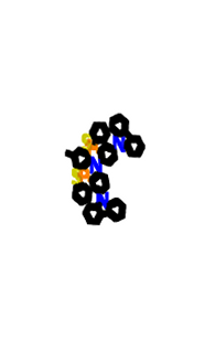 Cc1cc2c3c(c1)P(=S)(c1ccccc1)c1cc(-n4c5ccccc5c5ccccc54)ccc1N3c1ccc(-n3c4ccccc4c4ccccc43)cc1P2(=S)c1ccccc1